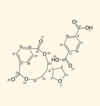 C1CCOC1.O=C(O)c1ccc(C(=O)O)cc1.O=C1OCCCCOC(=O)c2ccc1cc2